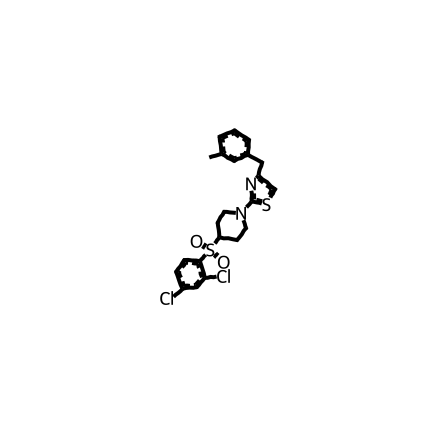 Cc1cccc(Cc2csc(N3CCC(S(=O)(=O)c4ccc(Cl)cc4Cl)CC3)n2)c1